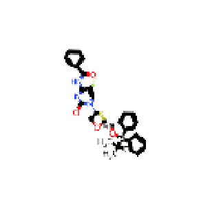 CC(C)(C)[Si](OC[C@@H]1OC[C@H](n2cc(F)c(NC(=O)c3ccccc3)nc2=O)S1)(c1ccccc1)c1ccccc1